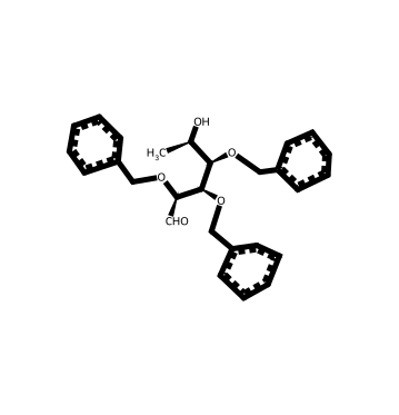 C[C@@H](O)[C@@H](OCc1ccccc1)[C@@H](OCc1ccccc1)[C@@H](C=O)OCc1ccccc1